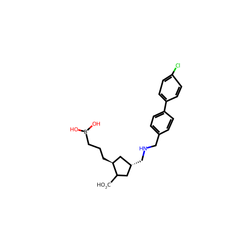 O=C(O)C1C[C@@H](CNCc2ccc(-c3ccc(Cl)cc3)cc2)C[C@@H]1CCCB(O)O